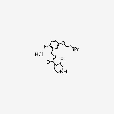 CCC1CNCCN1C(=O)OCc1cc(OCCC(C)C)ccc1F.Cl